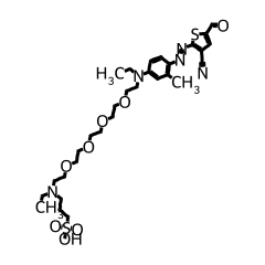 CCN(CCCS(=O)(=O)O)CCOCCOCCOCCOCCN(CC)c1ccc(/N=N/c2sc(C=O)cc2C#N)c(C)c1